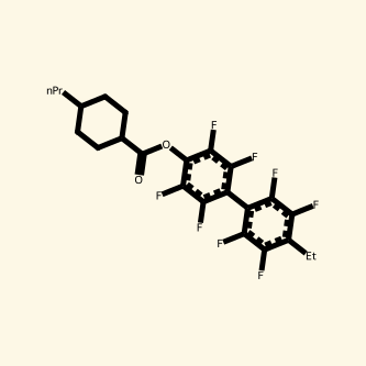 CCCC1CCC(C(=O)Oc2c(F)c(F)c(-c3c(F)c(F)c(CC)c(F)c3F)c(F)c2F)CC1